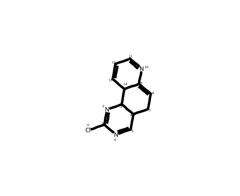 ClC1=NC2C(C=N1)CC=C1N=CC=CC12